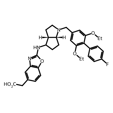 CCOc1cc(CN2CC[C@H]3C(Nc4nc5cc(CC(=O)O)ccc5o4)CC[C@H]32)cc(OCC)c1-c1ccc(F)cc1